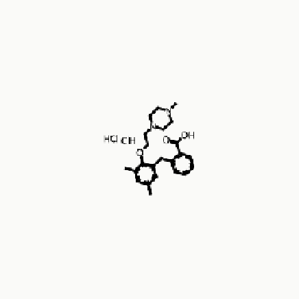 Cc1cc(C)c(OCCN2CCN(C)CC2)c(Cc2ccccc2C(=O)O)c1.Cl.Cl